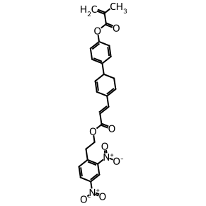 C=C(C)C(=O)Oc1ccc(C2C=CC(/C=C/C(=O)OCCc3ccc([N+](=O)[O-])cc3[N+](=O)[O-])=CC2)cc1